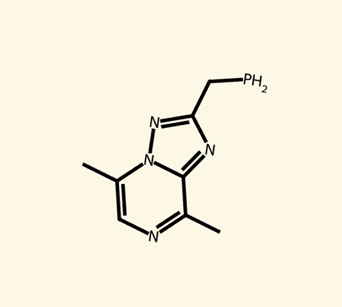 Cc1ncc(C)n2nc(CP)nc12